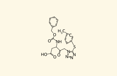 Cc1ccc(Sc2nnnn2CC(=O)C(CC(=O)O)NC(=O)OCc2ccccc2)cc1